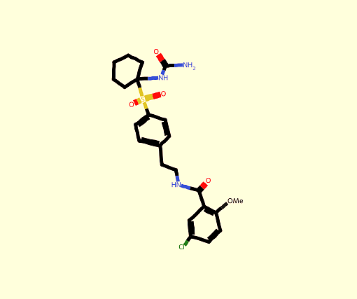 COc1ccc(Cl)cc1C(=O)NCCc1ccc(S(=O)(=O)C2(NC(N)=O)CCCCC2)cc1